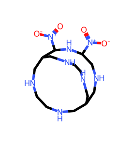 O=[N+]([O-])C1CNCC2CNCCNCC(CNCCNC2)C([N+](=O)[O-])N1